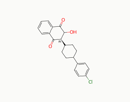 O=C1c2ccccc2C(=O)[C@H](C2CCC(c3ccc(Cl)cc3)CC2)C1O